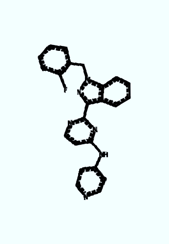 Fc1ccccc1Cn1nc(-c2nccc(Nc3ccncc3)n2)c2ccccc21